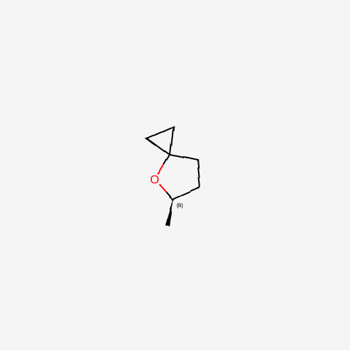 C[C@@H]1CCC2(CC2)O1